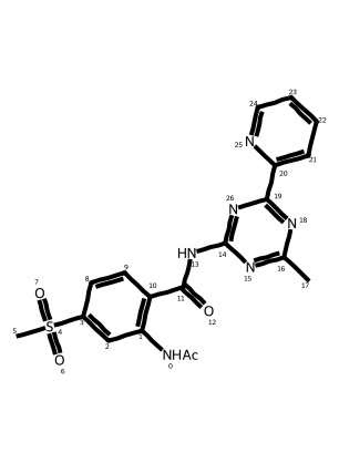 CC(=O)Nc1cc(S(C)(=O)=O)ccc1C(=O)Nc1nc(C)nc(-c2ccccn2)n1